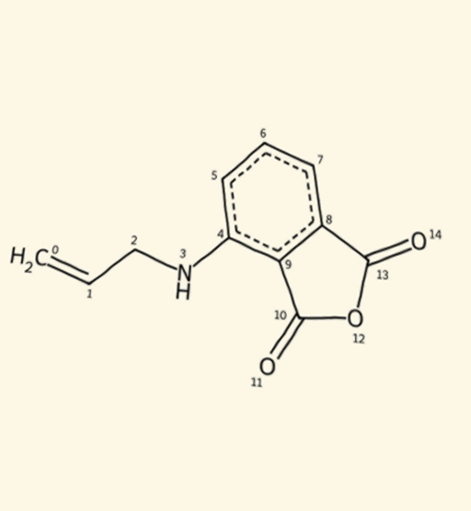 C=CCNc1cccc2c1C(=O)OC2=O